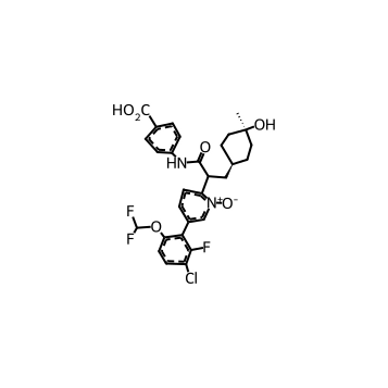 C[C@]1(O)CC[C@@H](CC(C(=O)Nc2ccc(C(=O)O)cc2)c2ccc(-c3c(OC(F)F)ccc(Cl)c3F)c[n+]2[O-])CC1